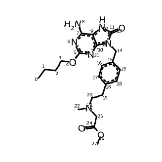 CCCCOc1nc(N)c2[nH]c(=O)n(Cc3ccc(CCN(C)CC(=O)OC)cc3)c2n1